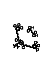 COc1cc(/C=C/C=C/C(=O)N2CCN(C(=O)/C=C/C=C/c3cc(OC)c(OC)c(OC)c3)C(CN(C(C)C)C(C)C)C2)cc(OC)c1OC.O=C(O)/C=C/C(=O)O